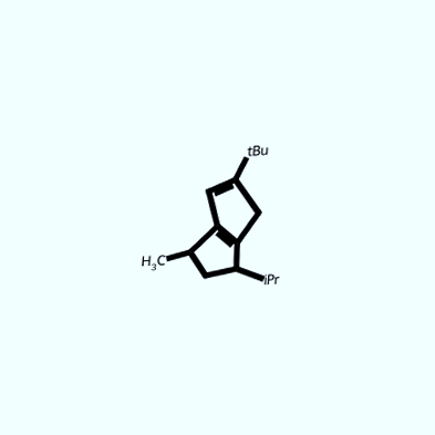 CC1CC(C(C)C)C2=C1C=C(C(C)(C)C)C2